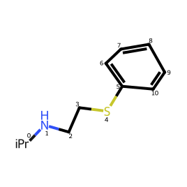 CC(C)NCCSc1ccccc1